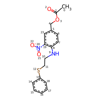 CC(=O)OCc1ccc(NCCSc2ccccc2)c([N+](=O)[O-])c1